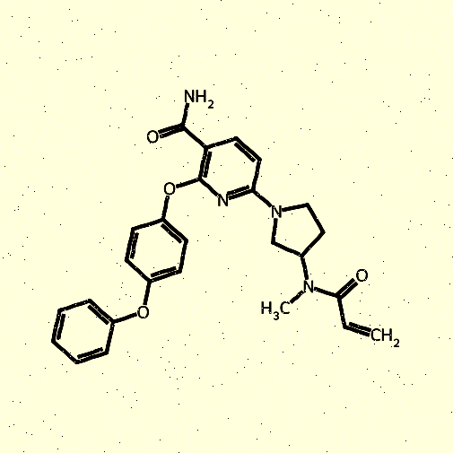 C=CC(=O)N(C)C1CCN(c2ccc(C(N)=O)c(Oc3ccc(Oc4ccccc4)cc3)n2)C1